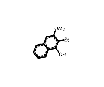 CCc1c(OC)cc2ccccc2c1O